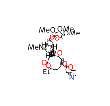 CC[C@H]1CCC[C@H](O[C@H]2CC[C@H](N(C)C)C(C)O2)[C@@H](C)C(=O)C2=C[C@@H]3[C@@H](C[C@@H](NC)[C@@H]4C[C@@H](O[C@@H]5OC(C)[C@H](OC)C(OC)C5OC)C[C@@H]34)[C@@H]2CC(=O)O1